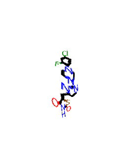 O=C1NC(=O)/C(=C/c2ccnc(N3CCN(c4ccc(Cl)cc4F)CC3)n2)S1